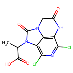 CC(C(=O)O)n1c(=O)n2c3c(c(Cl)nc(Cl)c31)NC(=O)C2